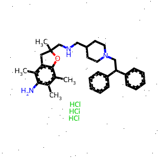 Cc1c(C)c2c(c(C)c1N)CC(C)(CNCC1CCN(CC(c3ccccc3)c3ccccc3)CC1)O2.Cl.Cl.Cl